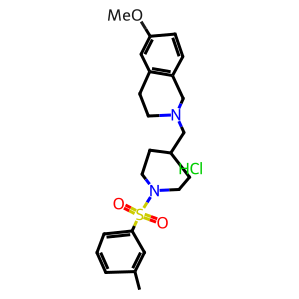 COc1ccc2c(c1)CCN(CC1CCN(S(=O)(=O)c3cccc(C)c3)CC1)C2.Cl